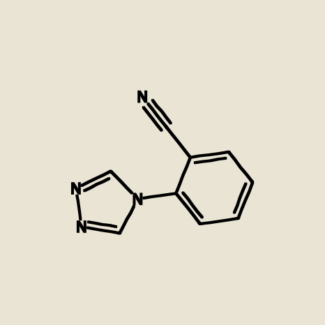 N#Cc1ccccc1-n1cnnc1